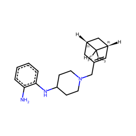 CC1(C)[C@@H]2CC(CN3CCC(Nc4ccccc4N)CC3)=C[C@H]1C2